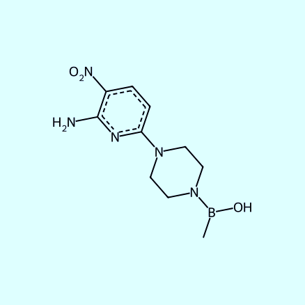 CB(O)N1CCN(c2ccc([N+](=O)[O-])c(N)n2)CC1